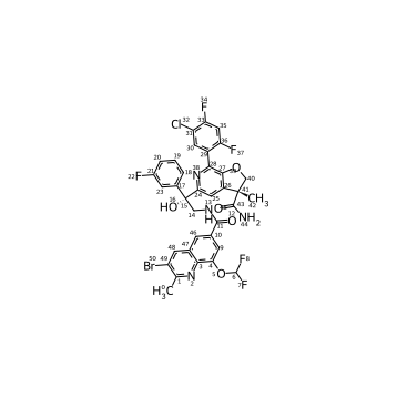 Cc1nc2c(OC(F)F)cc(C(=O)NC[C@@](O)(c3cccc(F)c3)c3cc4c(c(-c5cc(Cl)c(F)cc5F)n3)OC[C@]4(C)C(N)=O)cc2cc1Br